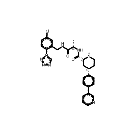 C[C@H](NC(=O)[C@H]1C[C@@H](c2ccc(-c3cccnc3)cc2)CCN1)C(=O)NCc1cc(Cl)ccc1-n1cnnn1